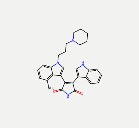 O=C1NC(=O)C(c2cn(CCCN3CCCCC3)c3cccc([N+](=O)[O-])c23)=C1c1c[nH]c2ccccc12